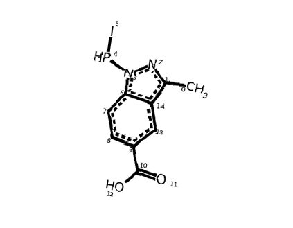 Cc1nn(PI)c2ccc(C(=O)O)cc12